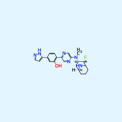 CN(c1cnc(-c2ccc(-c3ccn[nH]3)cc2O)cn1)[C@H]1C[C@@H]2CCCC(N2)[C@H]1F